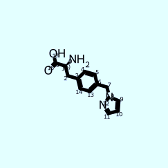 N[C@@H](Cc1ccc(Cn2cccn2)cc1)C(=O)O